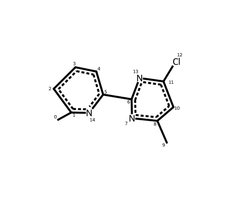 Cc1cccc(-c2nc(C)cc(Cl)n2)n1